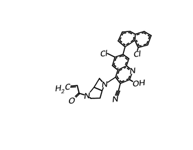 C=CC(=O)N1CCC2C1CN2c1c(C#N)c(O)nc2cc(-c3cccc4cccc(Cl)c34)c(Cl)cc12